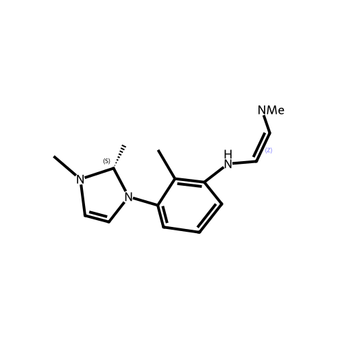 CN/C=C\Nc1cccc(N2C=CN(C)[C@@H]2C)c1C